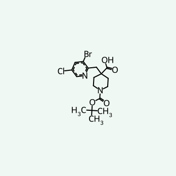 CC(C)(C)OC(=O)N1CCC(Cc2ncc(Cl)cc2Br)(C(=O)O)CC1